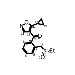 CC[S+]([O-])Cc1ccccc1C(=O)c1cnoc1C1CC1